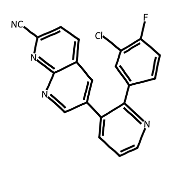 N#Cc1ccc2cc(-c3cccnc3-c3ccc(F)c(Cl)c3)cnc2n1